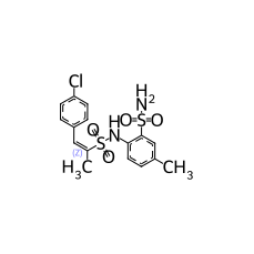 C/C(=C/c1ccc(Cl)cc1)S(=O)(=O)Nc1ccc(C)cc1S(N)(=O)=O